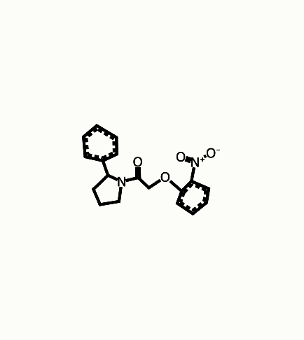 O=C(COc1ccccc1[N+](=O)[O-])N1CCCC1c1ccccc1